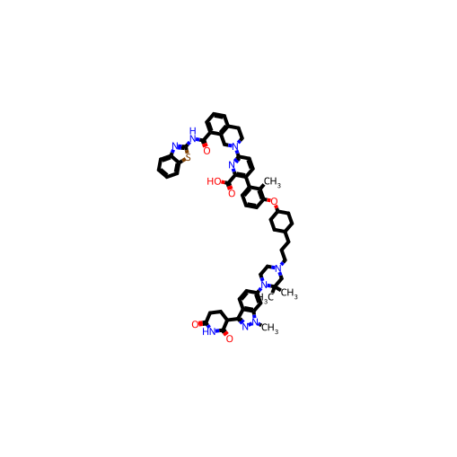 Cc1c(OC2CCC(CCCN3CCN(c4ccc5c(C6CCC(=O)NC6=O)nn(C)c5c4)C(C)(C)C3)CC2)cccc1-c1ccc(N2CCc3cccc(C(=O)Nc4nc5ccccc5s4)c3C2)nc1C(=O)O